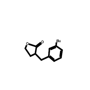 CCC(C)c1cccc(CC2CCOC2=O)c1